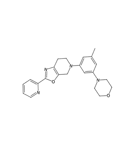 Cc1cc(N2CCOCC2)cc(N2CCc3nc(-c4ccccn4)oc3C2)c1